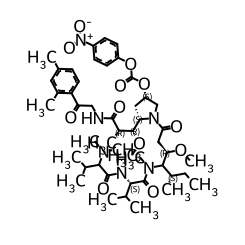 CC[C@H](C)C([C@@H](CC(=O)N1C[C@@H](OC(=O)Oc2ccc([N+](=O)[O-])cc2)C[C@H]1[C@H](OC)[C@@H](C)C(=O)NCC(=O)c1ccc(C)cc1C)OC)N(C)C(=O)[C@@H](NC(=O)C(C(C)C)N(C)C)C(C)C